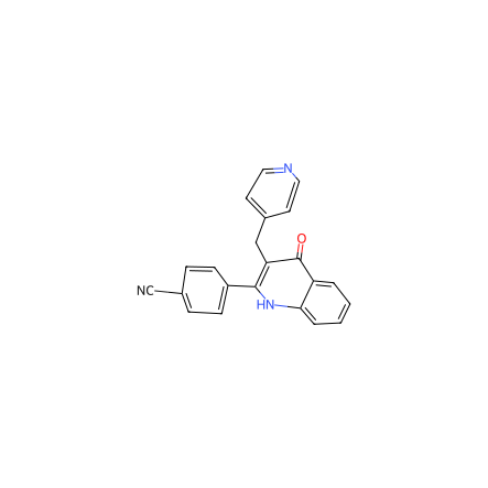 N#Cc1ccc(-c2[nH]c3ccccc3c(=O)c2Cc2ccncc2)cc1